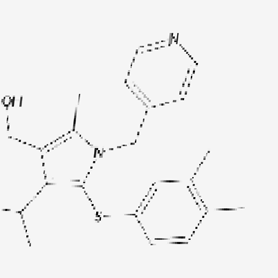 Cc1ccc(Sc2c(C(C)C)c(CO)c(C)n2Cc2ccncc2)cc1C